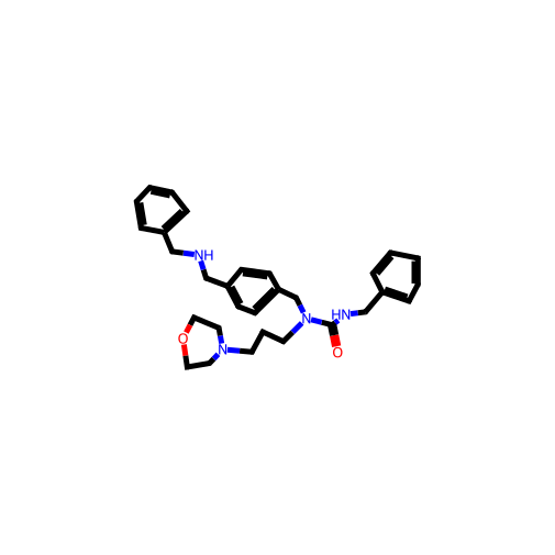 O=C(NCc1ccccc1)N(CCCN1CCOCC1)Cc1ccc(CNCc2ccccc2)cc1